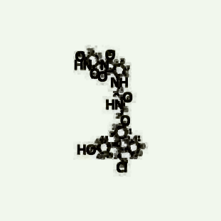 O=C(CCNc1cccc2c1C(=O)N(C1CCC(=O)NC1=O)C2=O)NCCOc1ccc(C(=C(CCCl)c2ccccc2)c2ccc(O)cc2)cc1